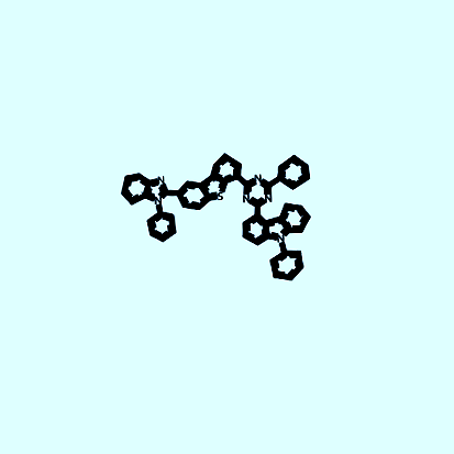 c1ccc(-c2nc(-c3cccc4c3sc3ccc(-c5nc6ccccc6n5-c5ccccc5)cc34)nc(-c3cccc4c3c3ccccc3n4-c3ccccc3)n2)cc1